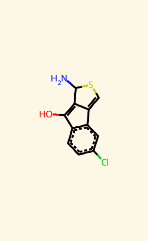 NC1SC=C2C1=C(O)c1ccc(Cl)cc12